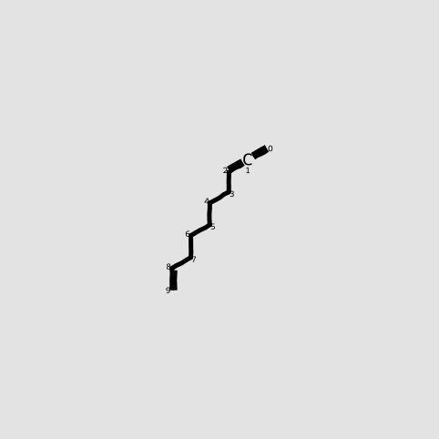 C=C=CCCCCCC=C